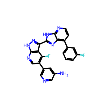 Nc1cncc(-c2cnc3[nH]nc(-c4nc5c(-c6cccc(F)c6)ccnc5[nH]4)c3c2F)c1